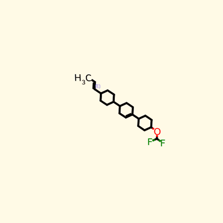 C/C=C/C1CCC(C2CC=C(C3CCC(OC(F)F)CC3)CC2)CC1